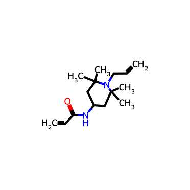 C=CCN1C(C)(C)CC(NC(=O)C=C)CC1(C)C